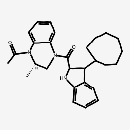 CC(=O)N1c2ccccc2N(C(=O)C2Nc3ccccc3C2C2CCCCCCC2)C[C@@H]1C